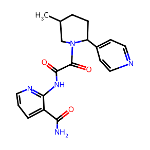 CC1CCC(c2ccncc2)N(C(=O)C(=O)Nc2ncccc2C(N)=O)C1